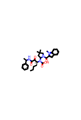 CCCC[C@@H](C(=O)C(=O)NC(C)c1ccccc1)N(C(=O)O)C1CC(C)(C)CN1C(=O)c1cc2ccccc2n1C